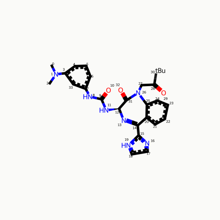 CN(C)c1cccc(NC(=O)N[C@@H]2N=C(c3ncc[nH]3)c3ccccc3N(CC(=O)C(C)(C)C)C2=O)c1